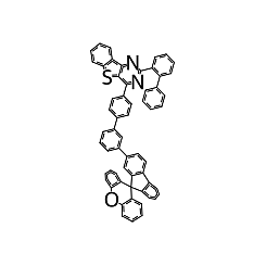 c1ccc(-c2ccccc2-c2nc(-c3ccc(-c4cccc(-c5ccc6c(c5)C5(c7ccccc7Oc7ccccc75)c5ccccc5-6)c4)cc3)c3sc4ccccc4c3n2)cc1